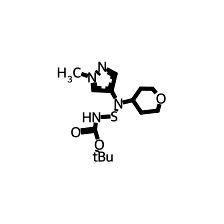 Cn1cc(N(SNC(=O)OC(C)(C)C)C2CCOCC2)cn1